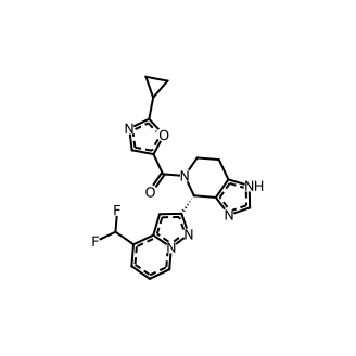 O=C(c1cnc(C2CC2)o1)N1CCc2[nH]cnc2[C@@H]1c1cc2c(C(F)F)cccn2n1